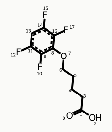 O=C(O)CCCCOc1c(F)c(F)cc(F)c1F